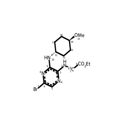 CCO[13C](=O)[13CH2]Nc1ncc(Br)nc1N[C@H]1CC[C@H](OC)CC1